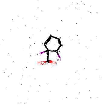 O=C(O)C1(I)C=CC=CC1I